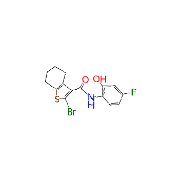 O=C(Nc1ccc(F)cc1O)c1c(Br)sc2c1CCCC2